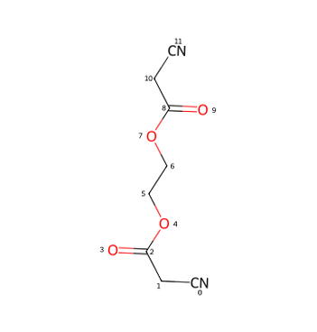 N#CCC(=O)OCCOC(=O)CC#N